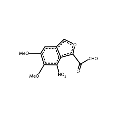 COc1cc2coc(C(=O)C=O)c2c([N+](=O)[O-])c1OC